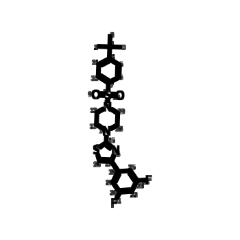 CC(C)(C)c1ccc(S(=O)(=O)N2CCN(c3nc(-c4cc(F)cc(F)c4)cs3)CC2)cc1